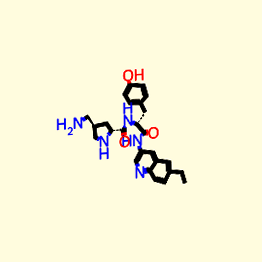 CCc1ccc2ncc(NC(=O)[C@@H](Cc3ccc(O)cc3)NC(=O)[C@H]3C[C@H](CN)CN3)cc2c1